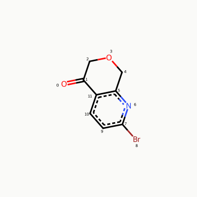 O=C1COCc2nc(Br)ccc21